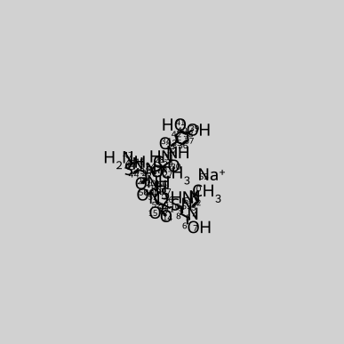 CN1C=C2N=C(CO)C=C(SCC3(C(=O)[O-])CS[C@@H]4C(NC(=O)C(=NOC(C)(C)C(=O)NNC(=O)c5ccc(O)c(O)c5)c5csc(N)n5)C(=O)N4C3)N2N1.[Na+]